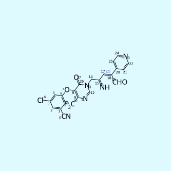 N#Cc1cc(Cl)cc(Oc2c(C(F)(F)F)ncn(CC(=N)/C=C(\C=O)c3ccncc3)c2=O)c1